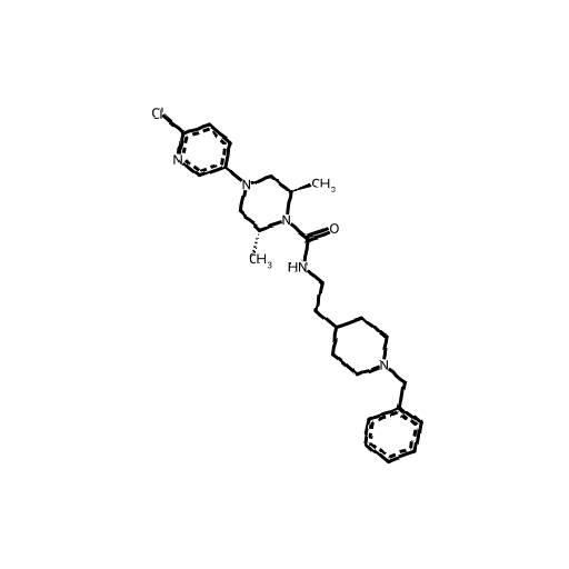 C[C@@H]1CN(c2ccc(Cl)nc2)C[C@@H](C)N1C(=O)NCCC1CCN(Cc2ccccc2)CC1